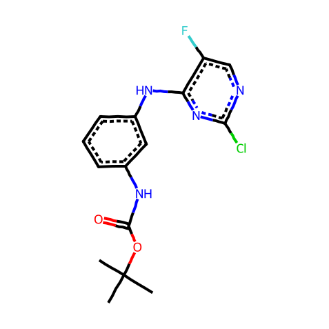 CC(C)(C)OC(=O)Nc1cccc(Nc2nc(Cl)ncc2F)c1